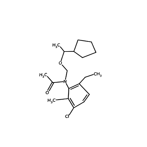 CCc1ccc(Cl)c(C)c1N(COC(C)C1CCCC1)C(C)=O